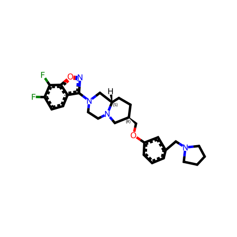 Fc1ccc2c(N3CCN4C[C@H](COc5cccc(CN6CCCC6)c5)CC[C@H]4C3)noc2c1F